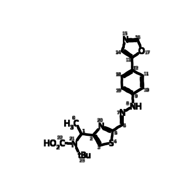 CC(c1csc(C=NNc2ccc(-c3cnco3)cc2)n1)N(C(=O)O)C(C)(C)C